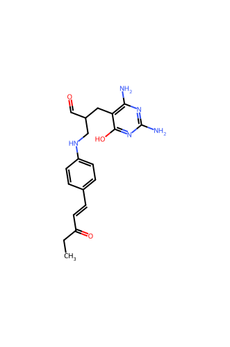 CCC(=O)/C=C/c1ccc(NCC(C=O)Cc2c(N)nc(N)nc2O)cc1